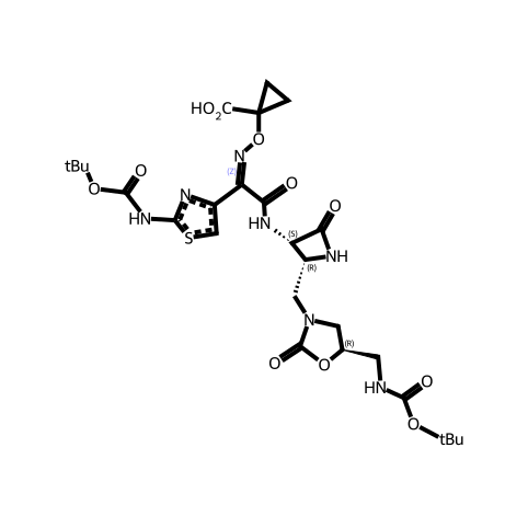 CC(C)(C)OC(=O)NC[C@@H]1CN(C[C@H]2NC(=O)[C@H]2NC(=O)/C(=N\OC2(C(=O)O)CC2)c2csc(NC(=O)OC(C)(C)C)n2)C(=O)O1